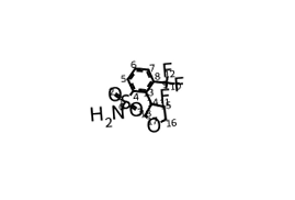 NS(=O)(=O)c1cccc(C(F)(F)F)c1C1CCOC1